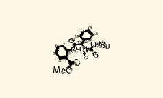 COC(=O)c1ccccc1NC(=O)C(c1ccccc1)N(C)C(=O)OC(C)(C)C